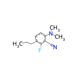 CCCc1ccc(N(C)C)c(C#N)c1F